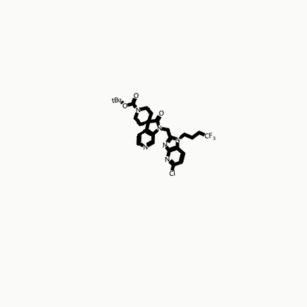 CC(C)(C)OC(=O)N1CCC2(CC1)C(=O)N(Cc1nc3nc(Cl)ccc3n1CCCC(F)(F)F)c1cnccc12